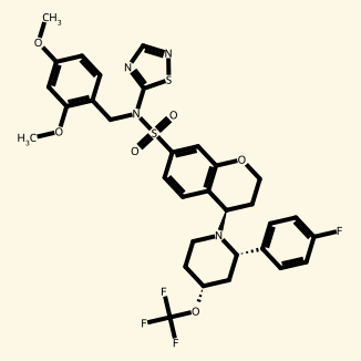 COc1ccc(CN(c2ncns2)S(=O)(=O)c2ccc3c(c2)OCC[C@H]3N2CC[C@@H](OC(F)(F)F)C[C@H]2c2ccc(F)cc2)c(OC)c1